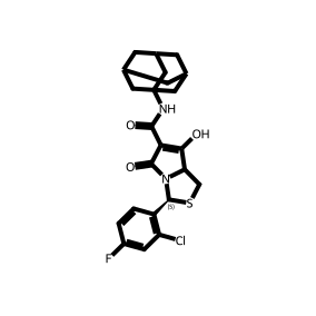 O=C(NC12CC3CC(CC(C3)C1)C2)C1=C(O)C2CS[C@@H](c3ccc(F)cc3Cl)N2C1=O